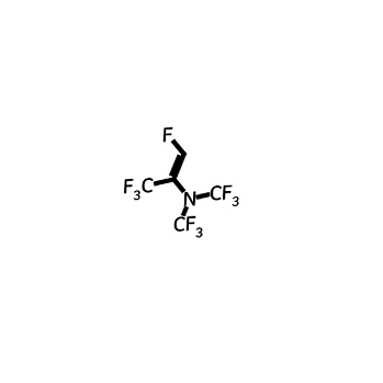 F/C=C(/N(C(F)(F)F)C(F)(F)F)C(F)(F)F